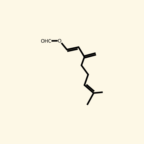 C=C(C=COC=O)CCC=C(C)C